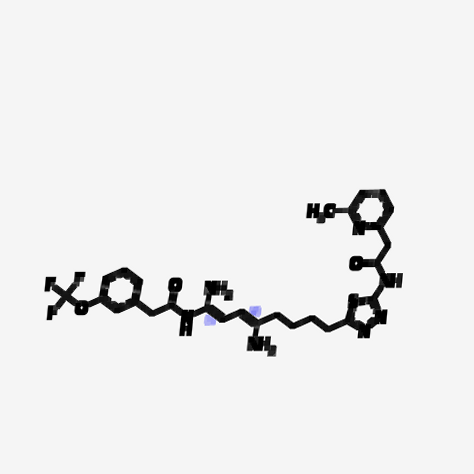 Cc1cccc(CC(=O)Nc2nnc(CCCC/C(N)=C/C=C(\N)NC(=O)Cc3cccc(OC(F)(F)F)c3)s2)n1